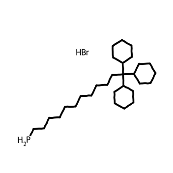 Br.PCCCCCCCCCCCC(C1CCCCC1)(C1CCCCC1)C1CCCCC1